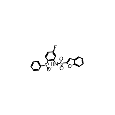 O=S(=O)(Nc1cc(F)ccc1[S+]([O-])c1ccccc1)c1cc2ccccc2o1